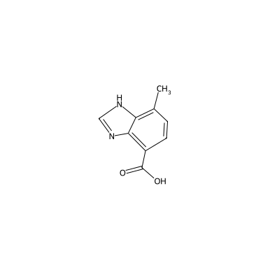 Cc1ccc(C(=O)O)c2nc[nH]c12